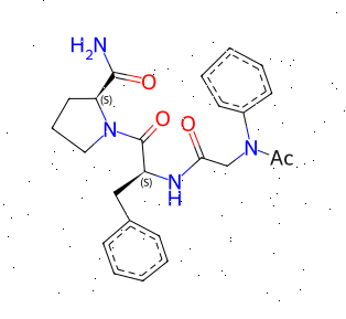 CC(=O)N(CC(=O)N[C@@H](Cc1ccccc1)C(=O)N1CCC[C@H]1C(N)=O)c1ccccc1